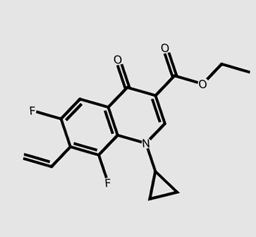 C=Cc1c(F)cc2c(=O)c(C(=O)OCC)cn(C3CC3)c2c1F